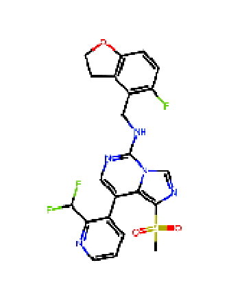 CS(=O)(=O)c1ncn2c(NCc3c(F)ccc4c3CCO4)ncc(-c3cccnc3C(F)F)c12